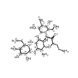 NCCC(O)C(=O)NC1C[C@H](N)[C@@H](O[C@H]2O[C@H](CN)[C@H](O)[C@H](O)[C@H]2O)[C@H](O)[C@H]1O[C@H]1O[C@H](CO)[C@@H](O)[C@H](N)[C@H]1O